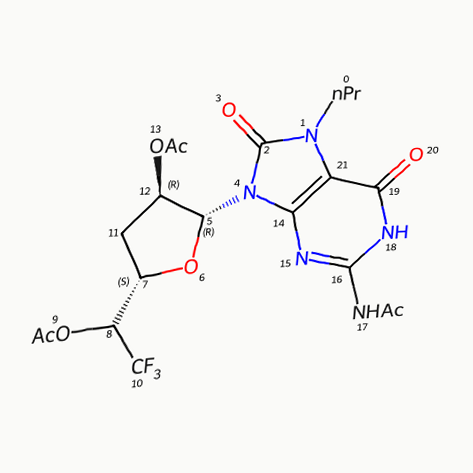 CCCn1c(=O)n([C@@H]2O[C@H](C(OC(C)=O)C(F)(F)F)C[C@H]2OC(C)=O)c2nc(NC(C)=O)[nH]c(=O)c21